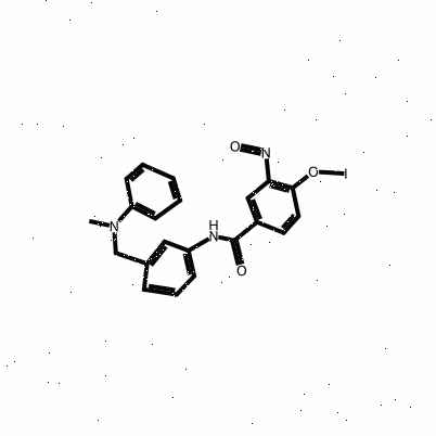 CN(Cc1cccc(NC(=O)c2ccc(OI)c(N=O)c2)c1)c1ccccc1